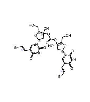 O=C(O[C@]1(O)C[C@H](n2cc(/C=C/Br)c(=O)[nH]c2=O)O[C@@H]1CO)O[C@]1(O)C[C@H](n2cc(/C=C/Br)c(=O)[nH]c2=O)O[C@@H]1CO